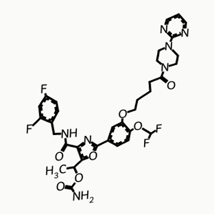 CC(OC(N)=O)c1oc(-c2ccc(OC(F)F)c(OCCCCC(=O)N3CCN(c4ncccn4)CC3)c2)nc1C(=O)NCc1ccc(F)cc1F